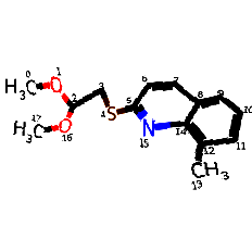 COC(CSc1ccc2cccc(C)c2n1)OC